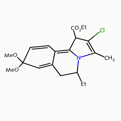 CCOC(=O)C1C(Cl)=C(C)N2C1=C1C=CC(OC)(OC)C=C1CC2CC